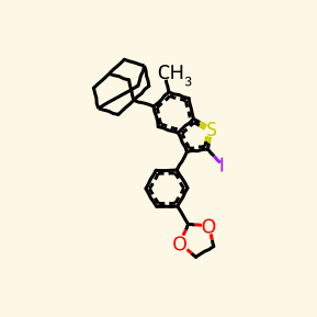 Cc1cc2sc(I)c(-c3cccc(C4OCCO4)c3)c2cc1C12CC3CC(CC(C3)C1)C2